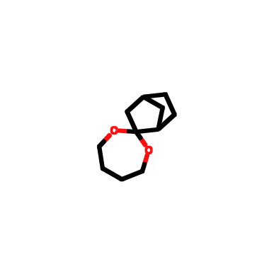 C1CCOC2(CC3CCC2C3)OC1